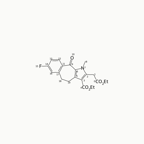 CCOC(=O)Cc1c(C(=O)OCC)c2c(n1C)C(=O)c1ccc(F)cc1CC2